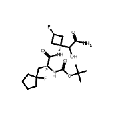 CC(C)(C)OC(=O)N[C@@H](CC1(F)CCCC1)C(=O)N[C@]1(C(O)C(N)=O)C[C@@H](F)C1